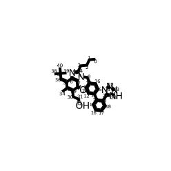 CCCCc1nc2c(n1Cc1ccc(-c3ccccc3-c3nnn[nH]3)cc1)C(=O)C(CCO)=C(C)C2=CC(C)(C)C